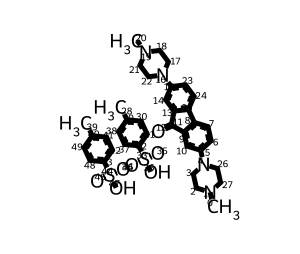 CN1CCN(c2ccc3c(c2)C(=O)c2cc(N4CCN(C)CC4)ccc2-3)CC1.Cc1ccc(S(=O)(=O)O)cc1.Cc1ccc(S(=O)(=O)O)cc1